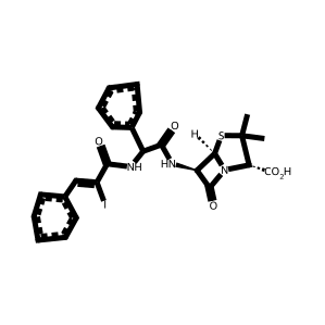 CC1(C)S[C@@H]2[C@H](NC(=O)C(NC(=O)C(I)=Cc3ccccc3)c3ccccc3)C(=O)N2[C@H]1C(=O)O